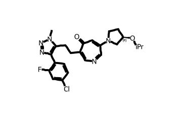 CC(C)O[C@@H]1CCN(c2cncc(CCc3c(-c4ccc(Cl)cc4F)nnn3C)c(=O)c2)C1